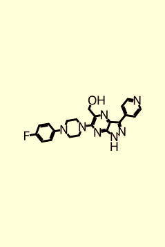 OCc1nc2c(-c3ccncc3)n[nH]c2nc1N1CCN(c2ccc(F)cc2)CC1